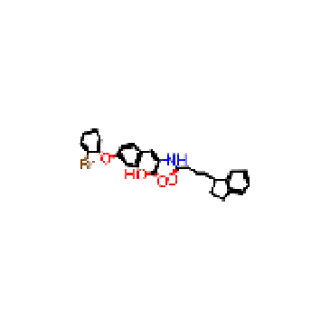 O=C(CCCC1CCc2ccccc21)NC(=Cc1ccc(Oc2ccccc2Br)cc1)C(=O)O